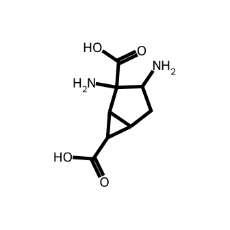 NC1CC2C(C(=O)O)C2C1(N)C(=O)O